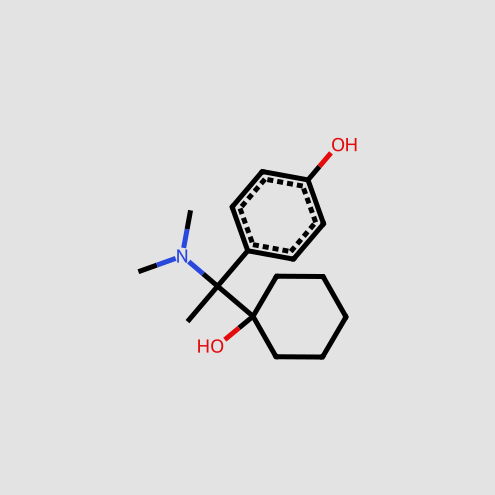 CN(C)C(C)(c1ccc(O)cc1)C1(O)CCCCC1